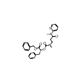 CN(CCC(=O)N(C)c1ccccn1)C(=O)O[C@@H](Cc1ccccc1)C(=O)OCc1ccccc1